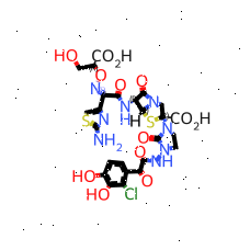 Nc1nc(/C(=N/O[C@H](CO)C(=O)O)C(=O)N[C@@H]2C(=O)N3C[C@@](C(=O)O)(N4CCN(NC(=O)C(=O)c5ccc(O)c(O)c5Cl)C4=O)S[C@H]23)cs1